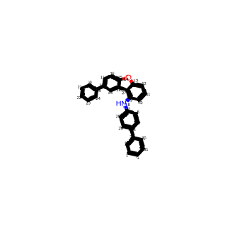 c1ccc(-c2ccc(Nc3cccc4oc5ccc(-c6ccccc6)cc5c34)cc2)cc1